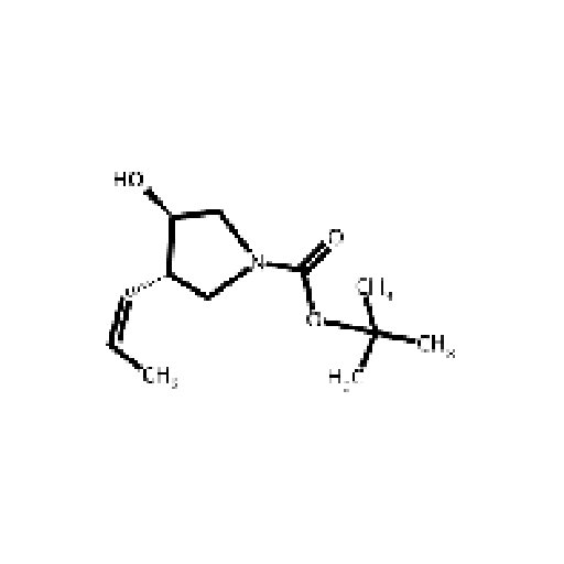 C/C=C\[C@H]1CN(C(=O)OC(C)(C)C)C[C@@H]1O